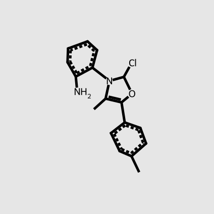 CC1=C(c2ccc(C)cc2)OC(Cl)N1c1ccccc1N